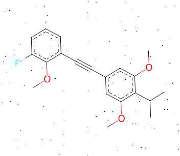 COc1cc(C#Cc2cccc(F)c2OC)cc(OC)c1C(C)C